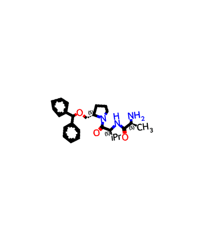 CC(C)[C@H](NC(=O)[C@H](C)N)C(=O)N1CCC[C@H]1COC(c1ccccc1)c1ccccc1